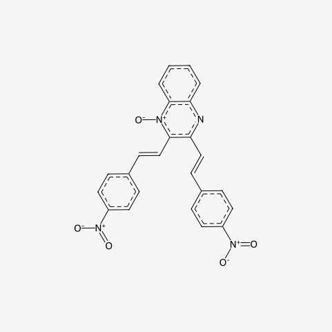 O=[N+]([O-])c1ccc(C=Cc2nc3ccccc3[n+]([O-])c2C=Cc2ccc([N+](=O)[O-])cc2)cc1